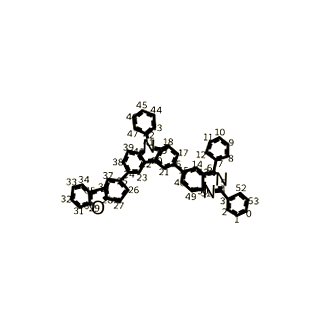 c1ccc(-c2nc(-c3ccccc3)c3cc(-c4ccc5c(c4)c4cc(-c6ccc7oc8ccccc8c7c6)ccc4n5-c4ccccc4)ccc3n2)cc1